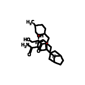 CC1CCC(CN(CCN2C3CCC2CC(c2cccc(C(N)=O)c2)C3)C(=O)[C@@H](O)CO)CC1